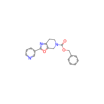 O=C(OCc1ccccc1)N1CCc2nc(-c3cccnc3)oc2C1